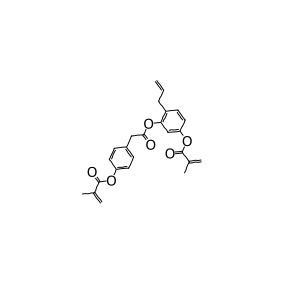 C=CCc1ccc(OC(=O)C(=C)C)cc1OC(=O)Cc1ccc(OC(=O)C(=C)C)cc1